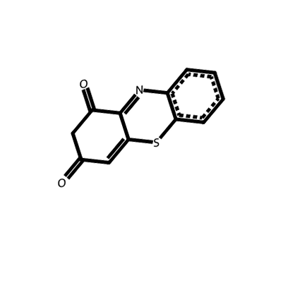 O=C1C=C2Sc3ccccc3N=C2C(=O)C1